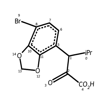 CC(C)C(C(=O)C(=O)O)c1ccc(Br)c2c1OCO2